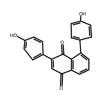 O=C1C=C(c2ccc(O)cc2)C(=O)c2c1cccc2-c1ccc(O)cc1